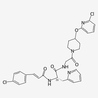 O=C(C=Cc1ccc(Cl)cc1)N[C@@H](Cc1ccccn1)C(=O)NCC(=O)N1CCC(Oc2cccc(Cl)n2)CC1